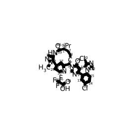 CC(C)[C@@H]1CCC[C@H](n2cnc(-c3cc(Cl)ccc3-n3cc(Cl)nn3)cc2=O)c2cc(ccn2)-c2c(cnn2C)NC1=O.O=C(O)C(F)(F)F